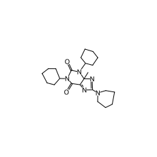 CC12N=C(N3CCCCC3)N=C1C(=O)N(C1CCCCC1)C(=O)N2C1CCCCC1